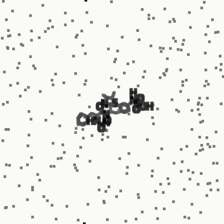 COC(=O)NC(Cc1ccccc1)C(=O)NC(Cc1ccc(NS(=O)(=O)O)cc1)c1nc(C)c(C)s1